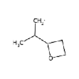 [CH2]C(C)C1CCO1